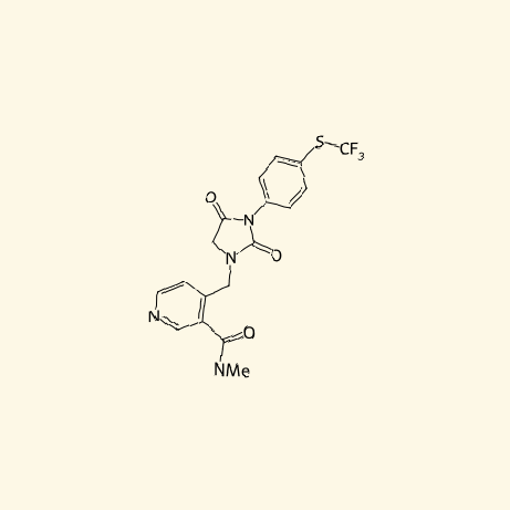 CNC(=O)c1cnccc1CN1CC(=O)N(c2ccc(SC(F)(F)F)cc2)C1=O